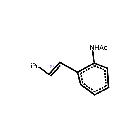 CC(=O)Nc1ccccc1/C=C/C(C)C